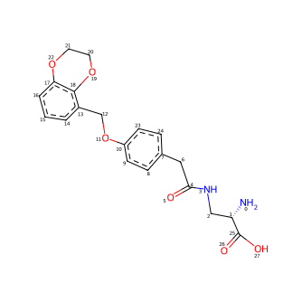 N[C@@H](CNC(=O)Cc1ccc(OCc2cccc3c2OCCO3)cc1)C(=O)O